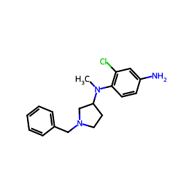 CN(c1ccc(N)cc1Cl)C1CCN(Cc2ccccc2)C1